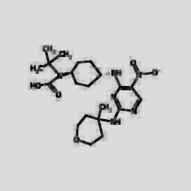 CC1(Nc2ncc([N+](=O)[O-])c(N[C@H]3CC[C@H](N(C(=O)O)C(C)(C)C)CC3)n2)CCOCC1